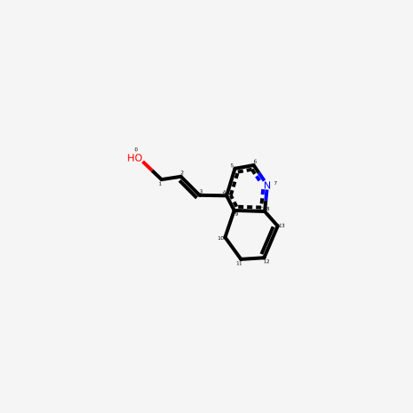 OC/C=C/c1ccnc2c1CCC=C2